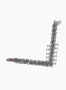 O=S(=O)(O)O.O=S(=O)(O)O.O=S(=O)(O)O.O=S(=O)(O)O.O=S(=O)(O)O.O=S(=O)(O)O.O=S(=O)(O)O.O=S(=O)(O)O.O=S(=O)(O)O.O=S(=O)(O)O.O=S(=O)([O-])[O-].O=S(=O)([O-])[O-].O=S(=O)([O-])[O-].O=S(=O)([O-])[O-].O=S(=O)([O-])[O-].O=S(=O)([O-])[O-].O=S(=O)([O-])[O-].O=S(=O)([O-])[O-].O=S(=O)([O-])[O-].O=S(=O)([O-])[O-].[Ca+2].[Ca+2].[Ca+2].[Ca+2].[Ca+2].[Ca+2].[Ca+2].[Ca+2].[Ca+2].[Ca+2]